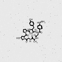 CC(NC(=O)CNC(=O)c1ccc(NN)cc1)C(=O)NCC(=O)N1C[C@@H](O)CC1C(=O)N1CCCC1C(=O)NC(Cc1ccc(O)cc1)C(N)=O